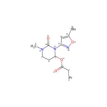 CC(C)CC(=O)OC1CCN(C)C(=O)N1c1cc(C(C)(C)C)on1